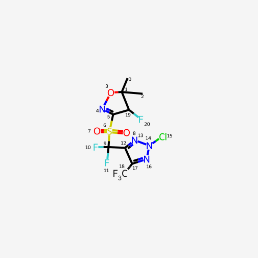 CC1(C)ON=C(S(=O)(=O)C(F)(F)c2nn(Cl)nc2C(F)(F)F)C1F